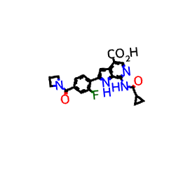 O=C(O)c1cnc(NC(=O)C2CC2)c2[nH]c(-c3ccc(C(=O)N4CCC4)cc3F)cc12